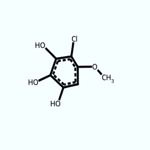 COc1cc(O)c(O)c(O)c1Cl